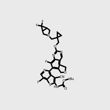 CC(C)(C)OC(=O)Nc1sc2c(F)cnc(-c3c4c(c5cnc(OCC6(CN7CC8C(C7)C8(F)F)CC6)nc5c3F)COC4)c2c1C#N